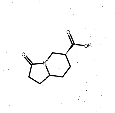 O=C(O)[C@H]1CCC2CCC(=O)N2C1